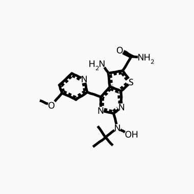 COc1ccnc(-c2nc(N(O)C(C)(C)C)nc3sc(C(N)=O)c(N)c23)c1